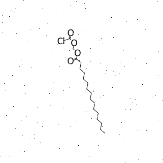 CCCCCCCCCCCCCCCC(=O)OCOC(=O)Cl